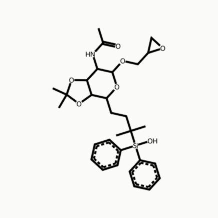 CC(=O)NC1C(OCC2CO2)OC(CCC(C)(C)[Si](O)(c2ccccc2)c2ccccc2)C2OC(C)(C)OC12